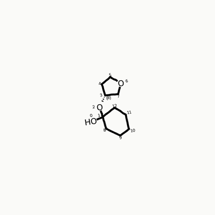 OC1(O[C@@H]2CCOC2)CCCCC1